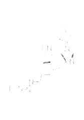 CC1CC(n2cnc(CC(CCCN=NN)C(=O)ON)c2)C1